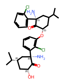 CC(C)C1C[C@H](Oc2cccc([C@]3(N)C[C@@H](C(C)C)C[C@@H](O)C3=O)c2Cl)C(=O)[C@@](N)(c2ccccc2Cl)C1